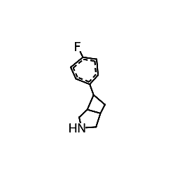 Fc1ccc(C2CC3CNCC32)cc1